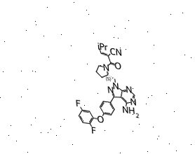 CC(C)C=C(C#N)C(=O)N1CCC[C@H]1Cn1nc(-c2ccc(Oc3cc(F)ccc3F)cc2)c2c(N)ncnc21